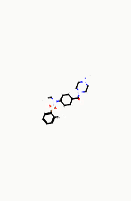 CC(C)N1CCN(C(=O)C2CCC(N(CC(F)(F)F)S(=O)(=O)c3ccccc3C#N)CC2)CC1